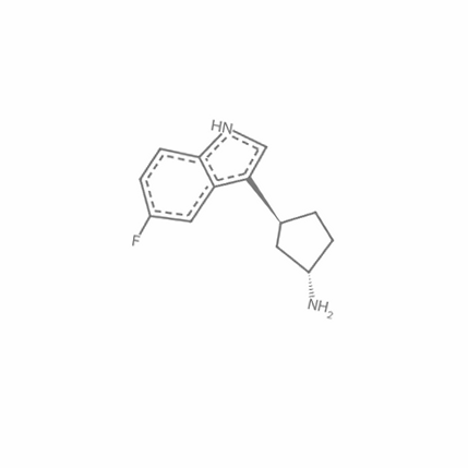 N[C@H]1CC[C@H](c2c[nH]c3ccc(F)cc23)C1